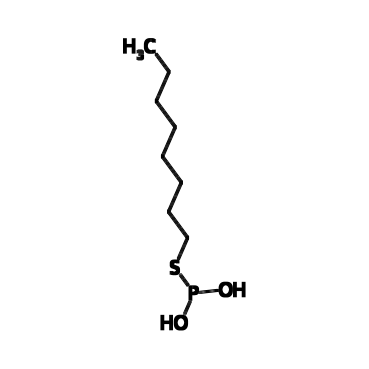 CCCCCCCCSP(O)O